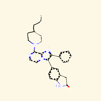 O=C1Cc2cc(-c3c(-c4ccccc4)nc4c(N5CCC(CCF)CC5)nccn34)ccc2N1